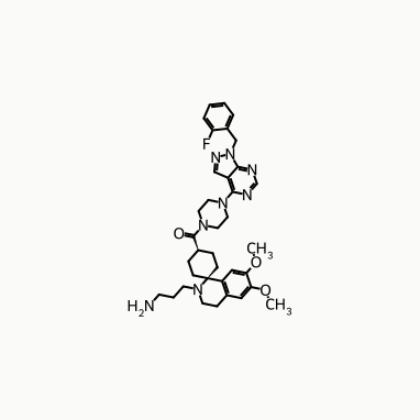 COc1cc2c(cc1OC)[C@]1(CC[C@H](C(=O)N3CCN(c4ncnc5c4cnn5Cc4ccccc4F)CC3)CC1)N(CCCN)CC2